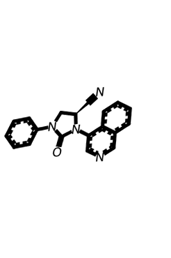 N#C[C@@H]1CN(c2ccccc2)C(=O)N1c1cncc2ccccc12